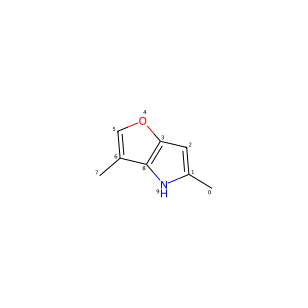 Cc1cc2occ(C)c2[nH]1